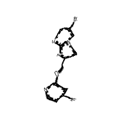 Fc1ccnc(OCc2cn3cc(Br)cnc3n2)c1